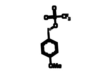 COc1ccc([I+]OS(=O)(=O)C(F)(F)F)cc1